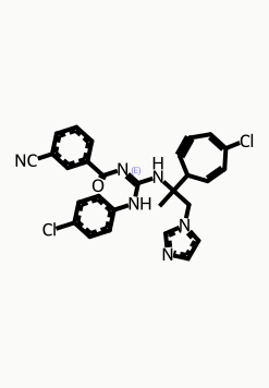 CC(Cn1ccnc1)(N/C(=N/C(=O)c1cccc(C#N)c1)Nc1ccc(Cl)cc1)C1C#CC=C(Cl)C=C1